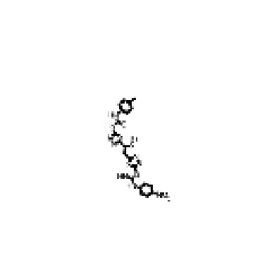 CCSC(Cc1nnc(OC(=N)Nc2ccc([N+](=O)[O-])cc2)s1)c1nnc(NC(=O)Nc2ccc(C)cc2)s1